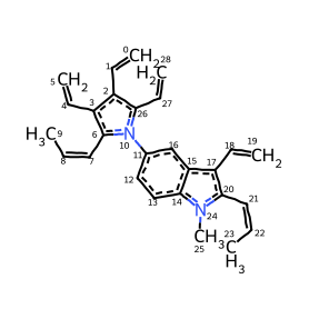 C=Cc1c(C=C)c(/C=C\C)n(-c2ccc3c(c2)c(C=C)c(/C=C\C)n3C)c1C=C